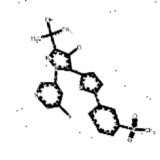 CC(C)(O)c1nn(-c2cncc(F)c2)c(-c2ccc(-c3cccc(S(C)(=O)=O)c3)s2)c1Cl